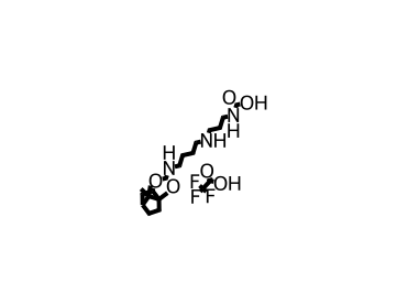 CC1(C)C2CCC1(C)C(OC(=O)NCCCCNCCCNC(=O)O)C2.O=C(O)C(F)(F)F